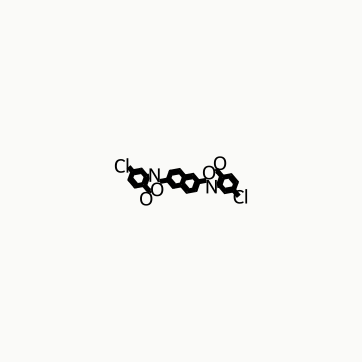 O=c1oc(-c2ccc3cc(-c4nc5cc(Cl)ccc5c(=O)o4)ccc3c2)nc2cc(Cl)ccc12